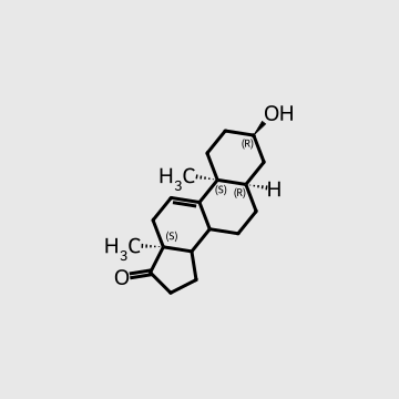 C[C@]12CC=C3C(CC[C@@H]4C[C@H](O)CC[C@]34C)C1CCC2=O